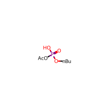 CCCCOP(=O)(O)OC(C)=O